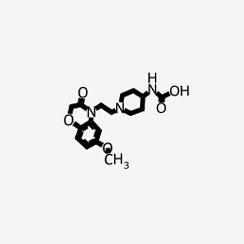 COc1ccc2c(c1)N(CCN1CCC(NC(=O)O)CC1)C(=O)CO2